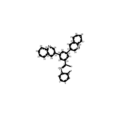 C/C(=N\c1ccccc1C)c1cc(-c2cnc3ccccc3c2)cc(-c2cnc3ccccc3c2)c1